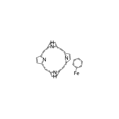 C1=Cc2cc3ccc(cc4nc(cc5ccc(cc1n2)[nH]5)C=C4)[nH]3.[Fe][c]1ccccc1